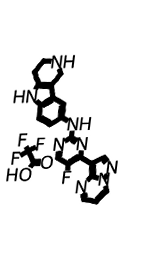 Fc1cnc(Nc2ccc3[nH]c4c(c3c2)CNCC4)nc1-c1cnn2cccnc12.O=C(O)C(F)(F)F